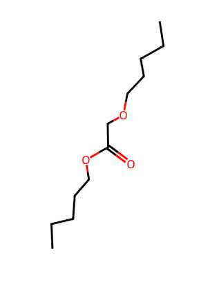 CCCCCOCC(=O)OCCCCC